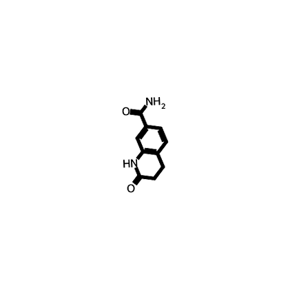 NC(=O)c1ccc2c(c1)NC(=O)CC2